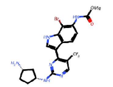 COC(=O)Nc1ccc2c(-c3nc(N[C@@H]4CC[C@H](N)C4)ncc3C(F)(F)F)c[nH]c2c1Br